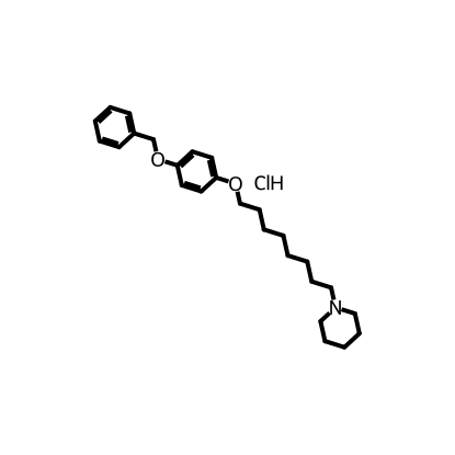 Cl.c1ccc(COc2ccc(OCCCCCCCCN3CCCCC3)cc2)cc1